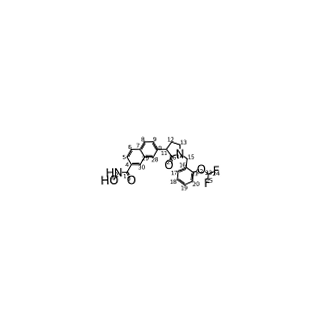 O=C(NO)c1ccc2ccc(C3CCN(Cc4ccccc4OC(F)F)C3=O)cc2c1